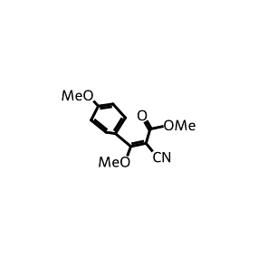 COC(=O)C(C#N)=C(OC)c1ccc(OC)cc1